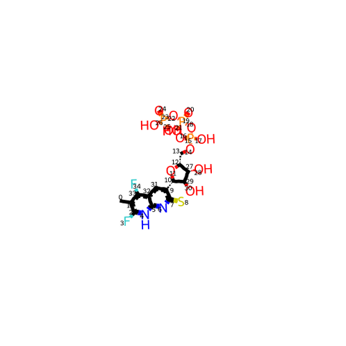 Cc1c(F)[nH]c2nc(=S)c([C@@H]3O[C@H](COP(=O)(O)OP(=O)(O)OP(=O)(O)O)[C@H](O)C3O)cc-2c1F